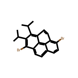 CC(C)c1c(Br)c2ccc3ccc(Br)c4ccc(c1C(C)C)c2c34